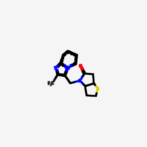 O=C1CC2SCCC2N1Cc1c(C(F)(F)F)nc2ccccn12